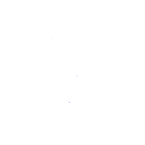 CCC1CCC(CO)CN1c1cc(-c2cnc3ccc(C(F)F)nn23)ncn1